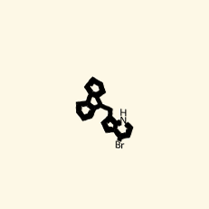 Brc1cc[nH]c2c(CC3c4ccccc4-c4ccccc43)ccc1-2